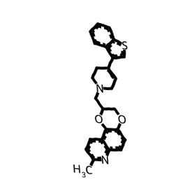 Cc1ccc2c3c(ccc2n1)OCC(CN1CC=C(c2csc4ccccc24)CC1)O3